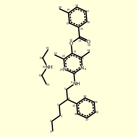 CCCCC(CNc1nc(C)c(OC(=O)c2cccc(C)c2)c(C)n1)c1ccccc1.CCNCC